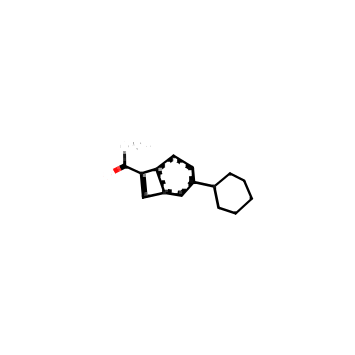 COC(=O)C1=Cc2cc(C3CCCCC3)ccc21